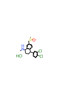 CNC1CCC(c2ccc(Cl)c(Cl)c2)c2ccc(C[S+](C)[O-])cc21.Cl